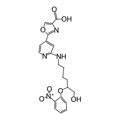 O=C(O)c1coc(-c2ccnc(NCCCCC(CO)Oc3ccccc3[N+](=O)[O-])c2)n1